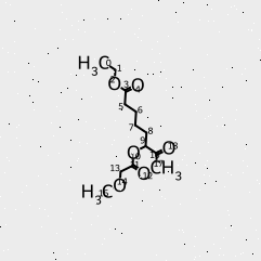 CCOC(=O)CCCCC(OC(=O)COC)C(C)=O